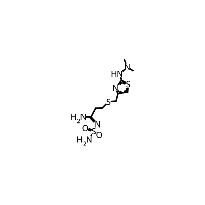 CN(C)Nc1nc(CSCCC(N)=NS(N)(=O)=O)cs1